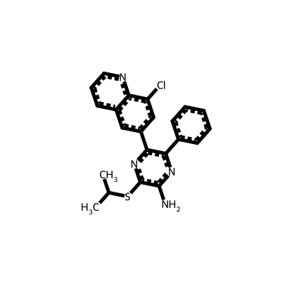 CC(C)Sc1nc(-c2cc(Cl)c3ncccc3c2)c(-c2ccccc2)nc1N